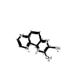 Oc1nc2ccc3nccnc3c2nc1O